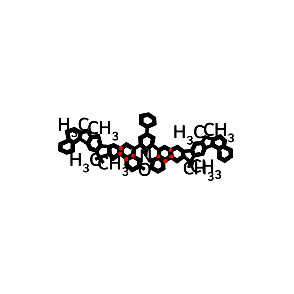 CC1(C)c2cc(-c3ccc4c(c3)N(c3c(-c5ccccc5)cc(-c5ccccc5)cc3-c3ccccc3)c3cc(-c5ccc6c(c5)C(C)(C)c5cc7c(cc5-6)C(C)(C)c5ccc6ccccc6c5-7)ccc3O4)ccc2-c2cc3c(cc21)-c1c(ccc2ccccc12)C3(C)C